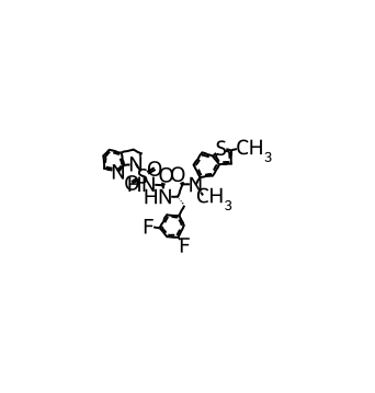 Cc1cc2cc(N(C)C(=O)[C@H](Cc3cc(F)cc(F)c3)NC(=O)NS(=O)(=O)N3CCc4cccnc43)ccc2s1